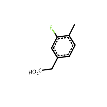 Cc1ccc(CC(=O)O)cc1F